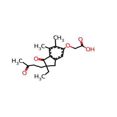 CCC1(CCC(C)=O)Cc2cc(OCC(=O)O)c(C)c(C)c2C1=O